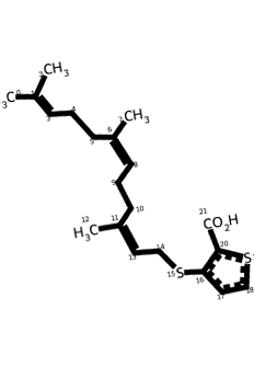 CC(C)=CCCC(C)=CCCC(C)=CCSc1ccsc1C(=O)O